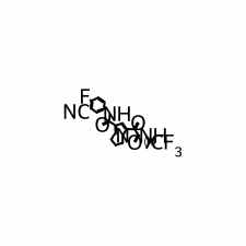 C[C@@H](NC(=O)C(=O)c1cc(C(=O)Nc2ccc(F)c(C#N)c2)c2n1CCC2)C(F)(F)F